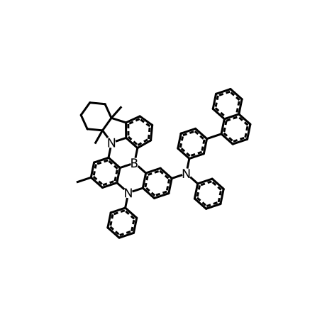 Cc1cc2c3c(c1)N1c4c(cccc4C4(C)CCCCC14C)B3c1cc(N(c3ccccc3)c3cccc(-c4cccc5ccccc45)c3)ccc1N2c1ccccc1